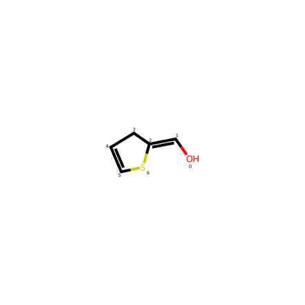 OC=C1CC=CS1